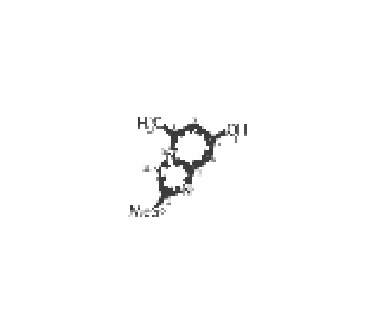 CSc1nc2cc(O)cc(C)n2n1